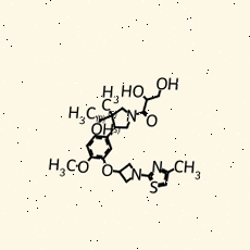 COc1ccc([C@@H]2CN(C(=O)C(O)CO)C[C@@]2(C)[C@@H](C)O)cc1OC1CN(c2nc(C)cs2)C1